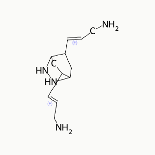 NC/C=C/C1CC2NNC1CC2/C=C/CN